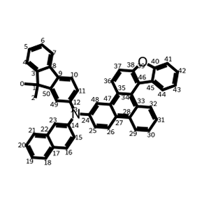 CC1(C)c2ccccc2-c2ccc(N(c3ccc4ccccc4c3)c3ccc4c5ccccc5c5c(ccc6oc7ccccc7c65)c4c3)cc21